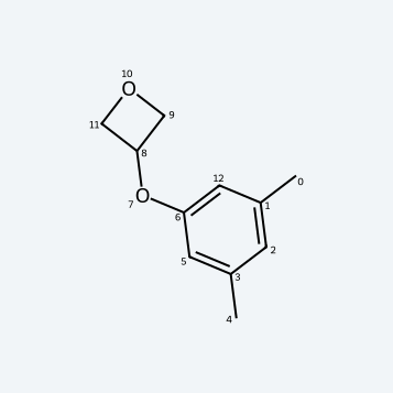 Cc1cc(C)cc(OC2COC2)c1